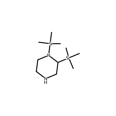 C[Si](C)(C)C1CNCCN1[Si](C)(C)C